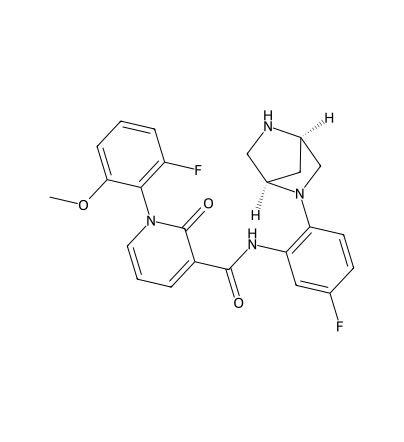 COc1cccc(F)c1-n1cccc(C(=O)Nc2cc(F)ccc2N2C[C@H]3C[C@@H]2CN3)c1=O